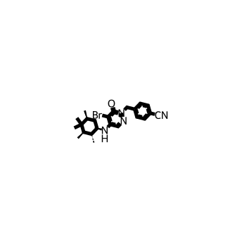 C[C@@H]1[C@@H](C)C(C)(C)[C@@H](C)C[C@H]1Nc1cnn(Cc2ccc(C#N)cc2)c(=O)c1Br